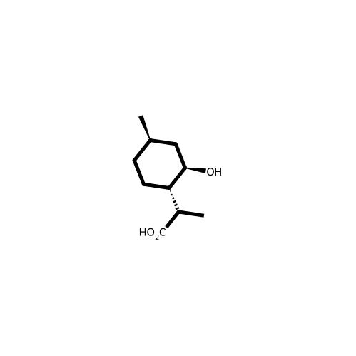 CC(C(=O)O)[C@@H]1CC[C@@H](C)C[C@H]1O